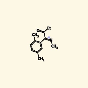 CCC(=O)/C(=N/C)c1cc(C)ccc1C